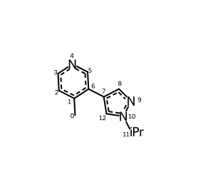 Cc1ccncc1-c1cnn(C(C)C)c1